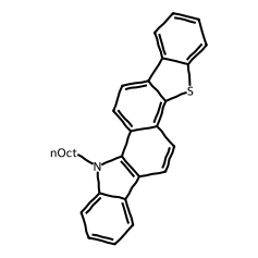 CCCCCCCCn1c2ccccc2c2ccc3c(ccc4c5ccccc5sc43)c21